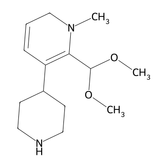 COC(OC)C1=C(C2CCNCC2)C=CCN1C